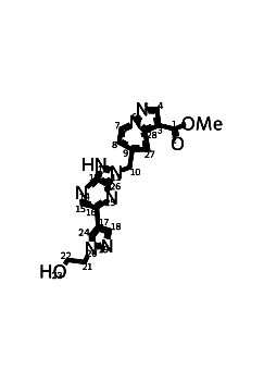 COC(=O)c1cnn2ccc(Cn3[nH]c4ncc(-c5cnn(CCO)c5)nc43)cc12